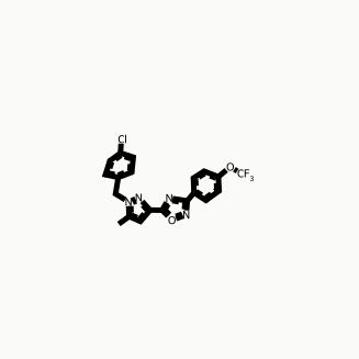 Cc1cc(-c2nc(-c3ccc(OC(F)(F)F)cc3)no2)nn1Cc1ccc(Cl)cc1